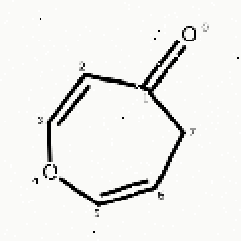 O=C1C=COC=CC1